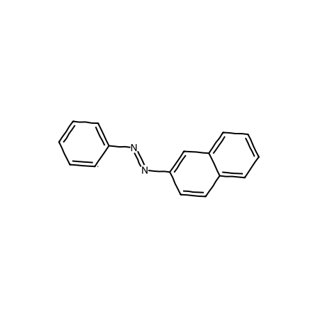 [c]1ccccc1N=Nc1ccc2ccccc2c1